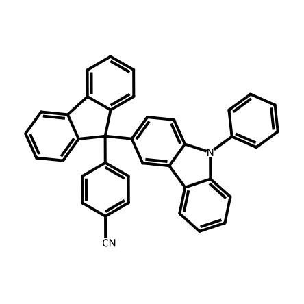 N#Cc1ccc(C2(c3ccc4c(c3)c3ccccc3n4-c3ccccc3)c3ccccc3-c3ccccc32)cc1